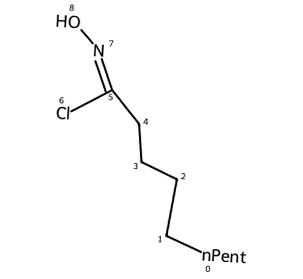 CCCCCCCCCC(Cl)=NO